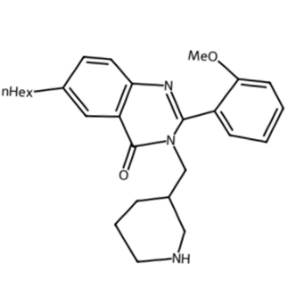 CCCCCCc1ccc2nc(-c3ccccc3OC)n(CC3CCCNC3)c(=O)c2c1